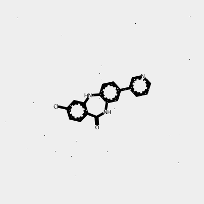 O=C1Nc2cc(-c3cccnc3)ccc2Nc2cc(Cl)ccc21